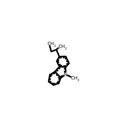 CCC(C)c1ccc2c(c1)c1ccccc1n2C